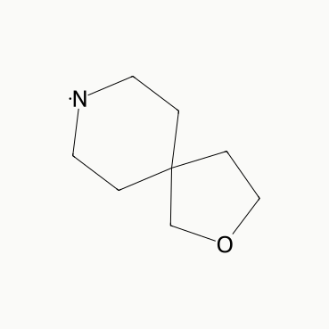 C1CC2(CC[N]1)CCOC2